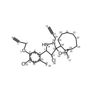 C#CCOc1cc(C2NN(CC#C)C(OC(F)F)(C3CCCCCCCC3)C2Cl)c(F)cc1Cl